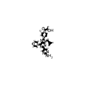 C[C@@H](O)C(=O)N1CCN(c2nc3c(N4CCOCC4)nc(-c4cnc(N)nc4)nc3n2CC2CC2)C[C@@H]1C